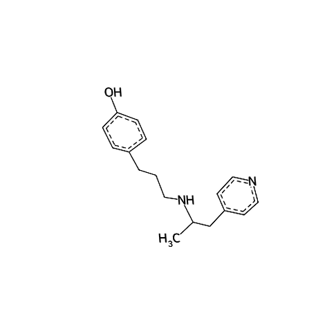 CC(Cc1ccncc1)NCCCc1ccc(O)cc1